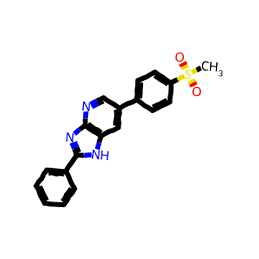 CS(=O)(=O)c1ccc(-c2cnc3nc(-c4ccccc4)[nH]c3c2)cc1